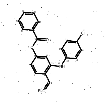 C=Cc1ccc(OC(=O)c2ccccc2)cc1Nc1ccc(C)cc1